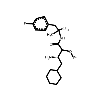 CC(C)OC(C(=O)NC(C)(C)Cc1ccc(F)cc1)[C@H](N)CC1CCCCC1